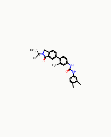 Cc1ccc(NC(=O)Nc2ccc(-c3ccc4c(c3)C(=O)N([C@H](C(=O)O)C(C)C)C4)c(C(F)(F)F)c2)cc1C